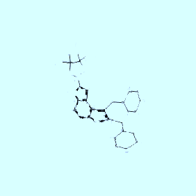 CC1(C)OB(c2cc3c(ccc4sc(CC5CCCCC5)c(CC5CCCCC5)c43)s2)OC1(C)C